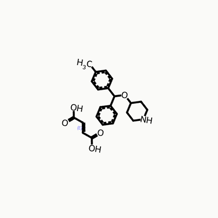 Cc1ccc(C(OC2CCNCC2)c2ccccc2)cc1.O=C(O)/C=C/C(=O)O